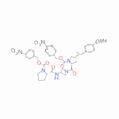 COc1ccc(CS[C@H]2C[C@@H](C(=O)N3CC(NC(=O)[C@@H]4CCCN4C(=O)OCc4ccc([N+](=O)[O-])cc4)C3)N(C(=O)OCc3ccc([N+](=O)[O-])cc3)C2)cc1